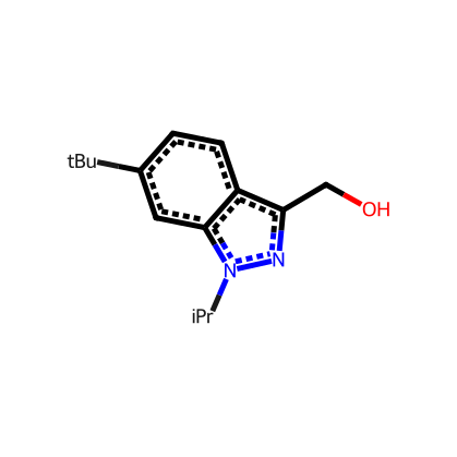 CC(C)n1nc(CO)c2ccc(C(C)(C)C)cc21